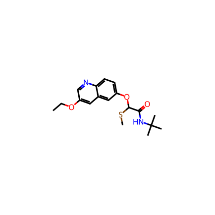 CCOc1cnc2ccc(OC(SC)C(=O)NC(C)(C)C)cc2c1